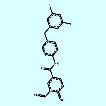 N=Cn1cc(C(=O)Nc2ccc(Cc3cc(F)cc(F)c3)cn2)ccc1=N